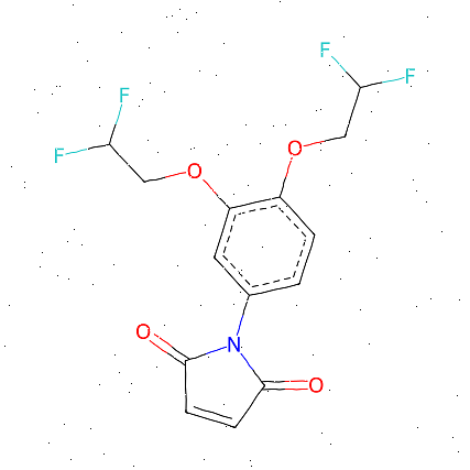 O=C1C=CC(=O)N1c1ccc(OCC(F)F)c(OCC(F)F)c1